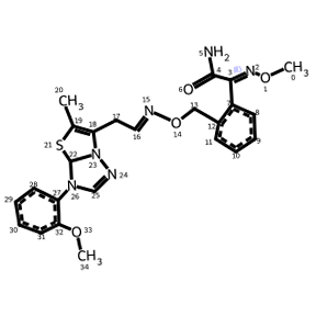 CO/N=C(/C(N)=O)c1ccccc1CON=CCC1=C(C)SC2N1N=CN2c1ccccc1OC